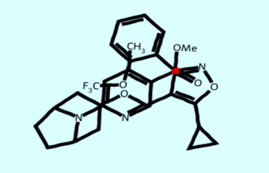 COC(=O)c1cnc(N2C3CCC2CC(OCc2c(-c4ccccc4OC(F)(F)F)noc2C2CC2)C3)cc1C